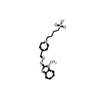 Cn1/c(=N\N=C\c2cc[n+](CCCCS(=O)(=O)[O-])cc2)sc2ccccc21